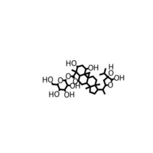 CC(C1CC(O)(C(C)C)C(O)O1)C1CCC2(C)C3CCC4C(C)(C(=O)OC5OC(CO)C(O)C(O)C5O)C(O)CC(O)C45CC35CCC12C